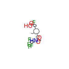 CCC1CCC(c2ccc(F)c(C(=O)O)c2)CCCCC(C2CC[C@@](C(=O)NCc3cc(F)cc(C(F)(F)F)c3)(C3CC3)OC2)C1